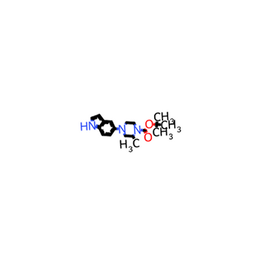 CC1CN(c2ccc3[nH]ccc3c2)CCN1C(=O)OC(C)(C)C